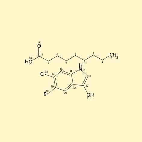 CCCCCCCCC(=O)O.Oc1c[nH]c2cc(Cl)c(Br)cc12